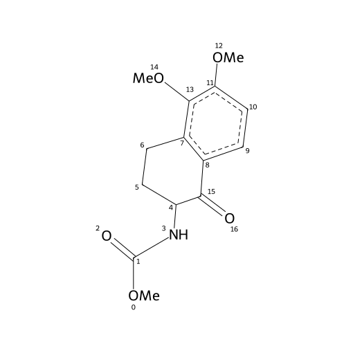 COC(=O)NC1CCc2c(ccc(OC)c2OC)C1=O